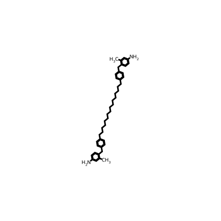 Cc1cc(N)ccc1Cc1ccc(CCCCCCCCCCCCCCCCc2ccc(Cc3ccc(N)cc3C)cc2)cc1